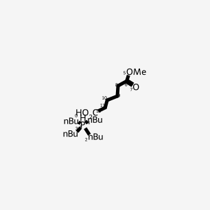 CCCC[PH](CCCC)(CCCC)CCCC.COC(=O)CCCCC(=O)O